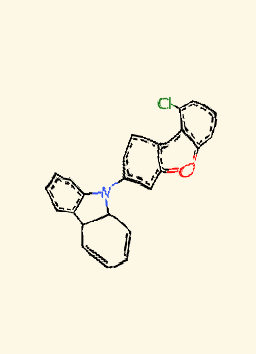 Clc1cccc2oc3cc(N4c5ccccc5C5C=CC=CC54)ccc3c12